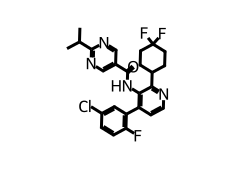 CC(C)c1ncc(C(=O)Nc2c(-c3cc(Cl)ccc3F)ccnc2C2CCC(F)(F)CC2)cn1